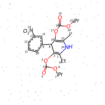 CCC1=C(OC(=O)OC(C)C)C(c2cccc([N+](=O)[O-])c2)C(OC(=O)OC(C)C)=C(C)N1